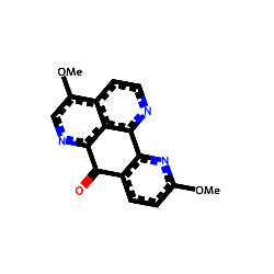 COc1ccc2c(n1)-c1nccc3c(OC)cnc(c13)C2=O